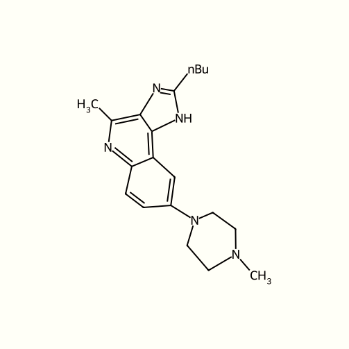 CCCCc1nc2c(C)nc3ccc(N4CCN(C)CC4)cc3c2[nH]1